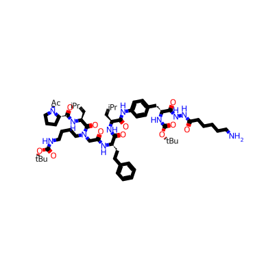 CC(=O)N1CCC[C@H]1C(=O)N[C@@H](CC(C)C)C(=O)N(CCCCNC(=O)OC(C)(C)C)CC(=O)N[C@@H](CCc1ccccc1)C(=O)N[C@@H](CC(C)C)C(=O)Nc1ccc(C[C@@H](NC(=O)OC(C)(C)C)C(=O)NNC(=O)CCCCCN)cc1